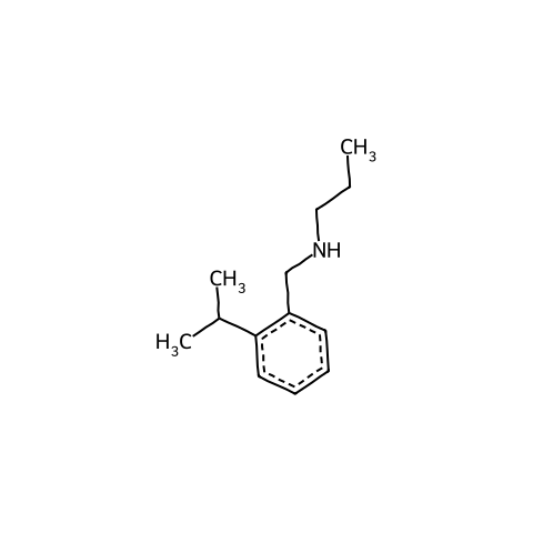 CCCNCc1ccccc1C(C)C